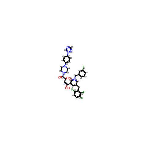 O=C(/C=C(/O)c1cc(Cc2c(F)ccc(F)c2F)cn(Cc2cccc(F)c2)c1=O)C(=O)N1CCN(c2ccc(-n3cncn3)cc2)CC1